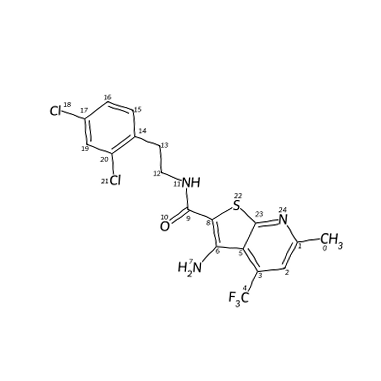 Cc1cc(C(F)(F)F)c2c(N)c(C(=O)NCCc3ccc(Cl)cc3Cl)sc2n1